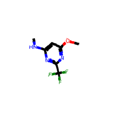 CNc1cc(OC)nc(C(F)(F)F)n1